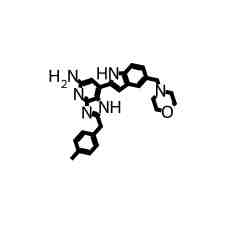 Cc1ccc(Cc2nc3nc(N)cc(-c4cc5cc(CN6CCOCC6)ccc5[nH]4)c3[nH]2)cc1